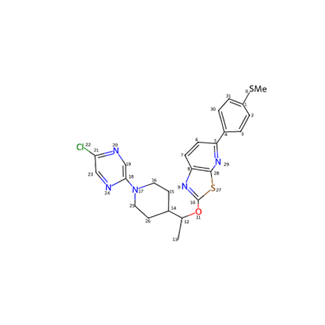 CSc1ccc(-c2ccc3nc(OC(C)C4CCN(c5cnc(Cl)cn5)CC4)sc3n2)cc1